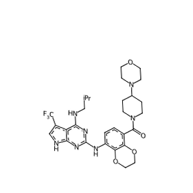 CC(C)CNc1nc(Nc2ccc(C(=O)N3CCC(N4CCOCC4)CC3)c3c2OCCO3)nc2[nH]cc(C(F)(F)F)c12